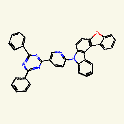 c1ccc(-c2nc(-c3ccccc3)nc(-c3ccc(-n4c5ccccc5c5c6c(ccc54)oc4ccccc46)nc3)n2)cc1